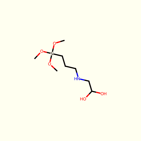 CO[Si](CCCNCC(O)O)(OC)OC